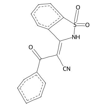 N#CC(C(=O)c1ccccc1)=C1NS(=O)(=O)c2ccccc21